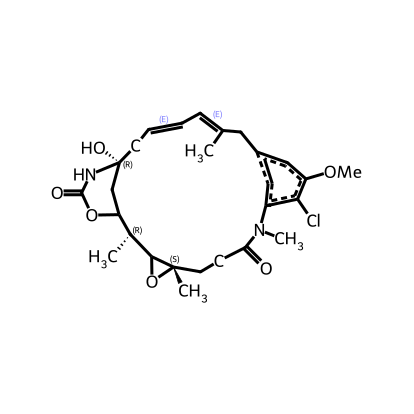 COc1cc2cc(c1Cl)N(C)C(=O)CC[C@]1(C)OC1[C@H](C)C1C[C@](O)(C/C=C/C=C(\C)C2)NC(=O)O1